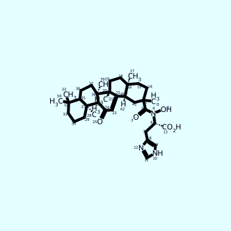 CC1(C(=O)N(O)[C@@H](Cc2c[nH]cn2)C(=O)O)CC[C@]2(C)CC[C@]3(C)C(=CC(=O)C4[C@@]5(C)CCCC(C)(C)C5CC[C@]43C)[C@@H]2C1